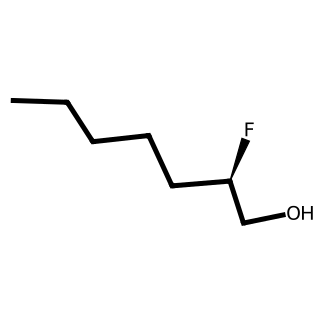 CCCCC[C@@H](F)CO